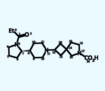 CCC(=O)N1CCC[C@H]1C1CCN(C2CC3(CCN(C(=O)O)C3)C2)CC1